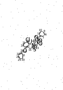 O=C(NS(=O)(=O)c1ccccc1)c1csc(Cc2cc(Cl)ccc2OCc2ccccc2)n1